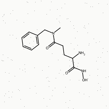 CN(Cc1ccccc1)C(=O)CCC(N)C(=O)NO